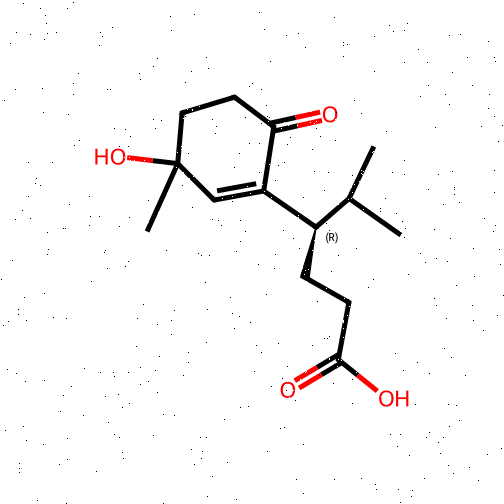 CC(C)[C@@H](CCC(=O)O)C1=CC(C)(O)CCC1=O